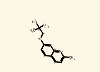 Cc1ccc2ccc(OCC(C)(C)O)cc2n1